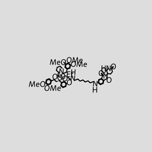 CC[C@H](C(=O)N1CCCCC1C(=O)O[C@H](CCc1ccc(OC)c(OC)c1)c1ccccc1OCC(=O)NCCCCCCCCNc1ccc2c(c1)C(=O)N(C1CCC(=O)NC1=O)C2=O)c1cc(OC)c(OC)c(OC)c1